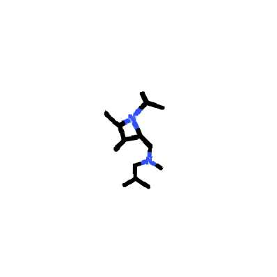 CC(C)CN(C)CC1C(C)C(C)N1C(C)C